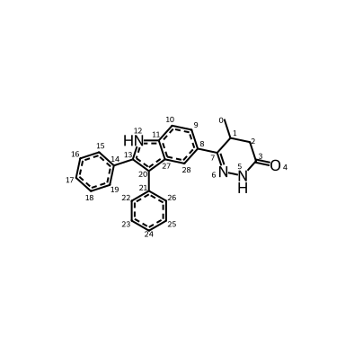 CC1CC(=O)NN=C1c1ccc2[nH]c(-c3ccccc3)c(-c3ccccc3)c2c1